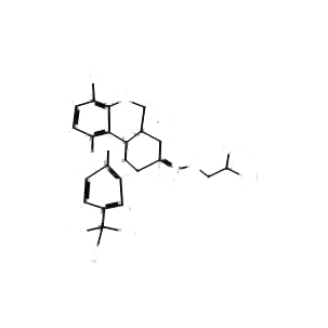 CC(C)CO/N=C1/CC[C@@]2(Cc3ccc(C(F)(F)F)cc3)c3c(F)ccc(F)c3OC[C@H]2C1